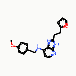 COc1ccc(CNc2ccnc3[nH]c(CCc4ccco4)nc23)cc1